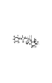 O=C(CC1CC(c2ccccc2)C1)Nc1cccc(F)c1F